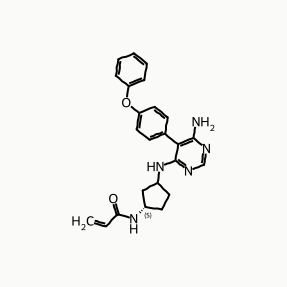 C=CC(=O)N[C@H]1CCC(Nc2ncnc(N)c2-c2ccc(Oc3ccccc3)cc2)C1